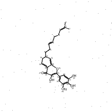 CC(C)=CCC/C=C/CCC1C=c2oc(-c3cc(O)c(O)c(O)c3)c(O)c(=O)c2=CC1